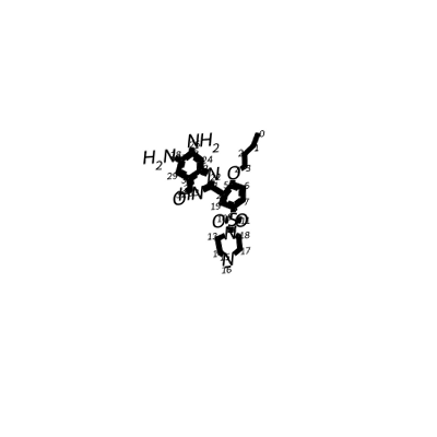 CCCCOc1ccc(S(=O)(=O)N2CCN(C)CC2)cc1-c1nc2cc(N)c(N)cc2c(=O)[nH]1